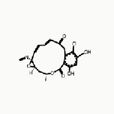 C=N[C@]12/C=C\C=C\C(=O)Cc3c(Cl)c(O)cc(O)c3C(=O)O[C@H](C)C[C@H]1O2